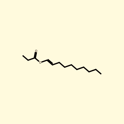 CCCCCCCC/C=C/OC(=O)CC